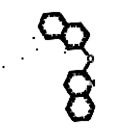 [c]1c(Oc2ccc3ccccc3n2)ccc2ccccc12